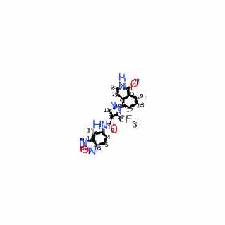 O=C(Nc1ccc2nonc2c1)c1cnn(-c2cccc3c(=O)[nH]ccc23)c1C(F)(F)F